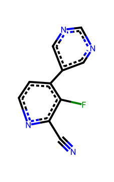 N#Cc1nccc(-c2cncnc2)c1F